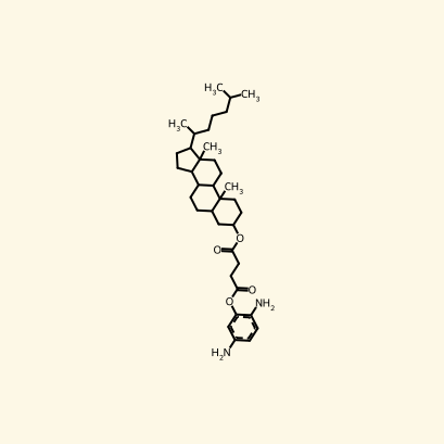 CC(C)CCCC(C)C1CCC2C3CCC4CC(OC(=O)CCC(=O)Oc5cc(N)ccc5N)CCC4(C)C3CCC12C